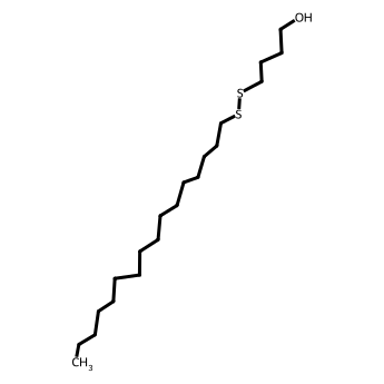 CCCCCCCCCCCCCCCCSSCCCCO